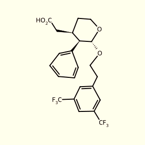 O=C(O)C[C@H]1CCO[C@H](OCCc2cc(C(F)(F)F)cc(C(F)(F)F)c2)[C@H]1c1ccccc1